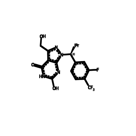 CC(C)[C@@H](c1ccc(C(F)(F)F)c(F)c1)n1nc(CO)c2c(=O)[nH]c(O)nc21